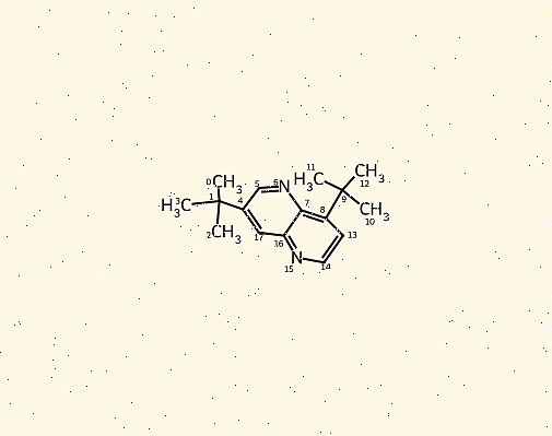 CC(C)(C)c1cnc2c(C(C)(C)C)ccnc2c1